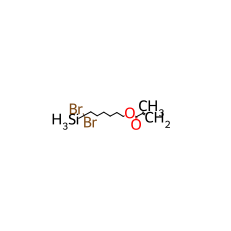 C=C(C)C(=O)OCCCCCCC([SiH3])(Br)Br